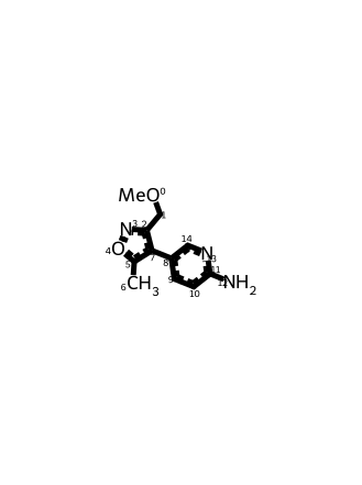 COCc1noc(C)c1-c1ccc(N)nc1